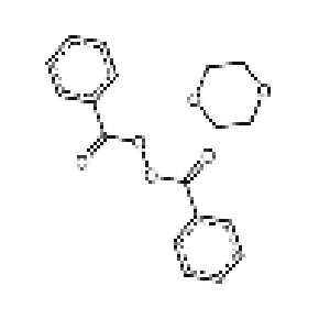 C1COCCO1.O=C(OOC(=O)c1ccccc1)c1ccccc1